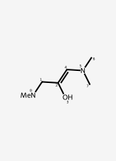 CNC/C(O)=C/N(C)C